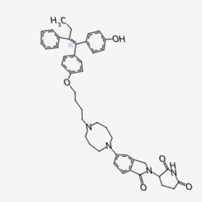 CC/C(=C(\c1ccc(O)cc1)c1ccc(OCCCCN2CCCN(c3ccc4c(c3)CN(C3CCC(=O)NC3=O)C4=O)CCC2)cc1)c1ccccc1